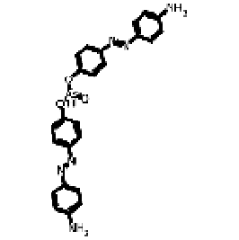 Nc1ccc(N=Nc2ccc(O[AsH](=O)Oc3ccc(N=Nc4ccc(N)cc4)cc3)cc2)cc1